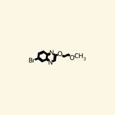 COCCOc1cnc2cc(Br)ccc2n1